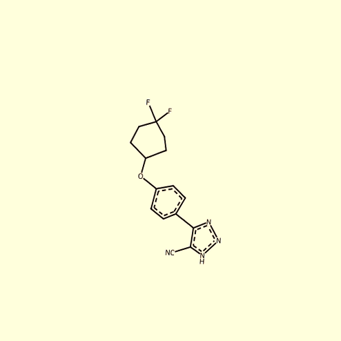 N#Cc1[nH]nnc1-c1ccc(OC2CCC(F)(F)CC2)cc1